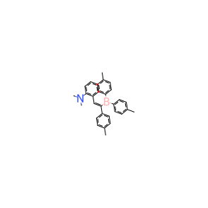 Cc1ccc(B(/C(=C\c2ccccc2N(C)C)c2ccc(C)cc2)c2ccc(C)cc2)cc1